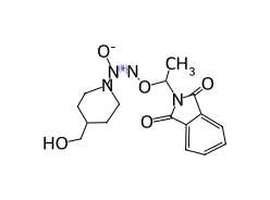 CC(O/N=[N+](/[O-])N1CCC(CO)CC1)N1C(=O)c2ccccc2C1=O